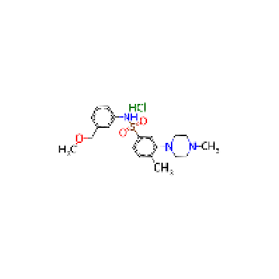 COCc1cccc(NS(=O)(=O)c2ccc(C)c(N3CCN(C)CC3)c2)c1.Cl